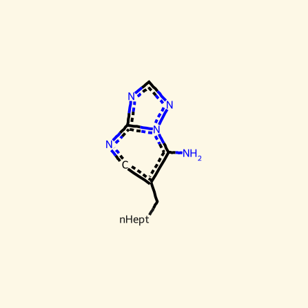 CCCCCCCCc1cnc2ncnn2c1N